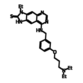 CCN(CC)CCCOc1cccc(CNc2ncnc3cc4c(cc23)[nH]c(=S)n4CC)c1